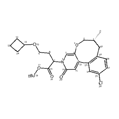 C[C@H]1COc2cn(C(CCOC3CCC3)C(=O)OC(C)(C)C)c(=O)cc2-c2cc(Cl)ccc2C1